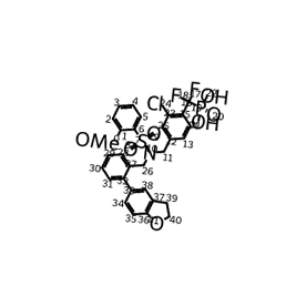 COc1ccccc1S(=O)(=O)N(Cc1ccc(C(F)(F)P(=O)(O)O)c(Cl)c1)Cc1ccccc1-c1ccc2c(c1)CCO2